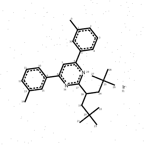 Cc1cccc(-c2cc(-c3cccc(C)c3)nc(C(CC(C)(C)C)CC(C)(C)C)n2)c1.[Ir]